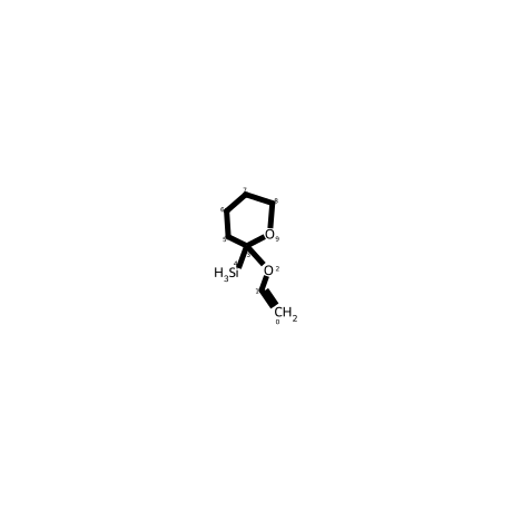 C=COC1([SiH3])CCCCO1